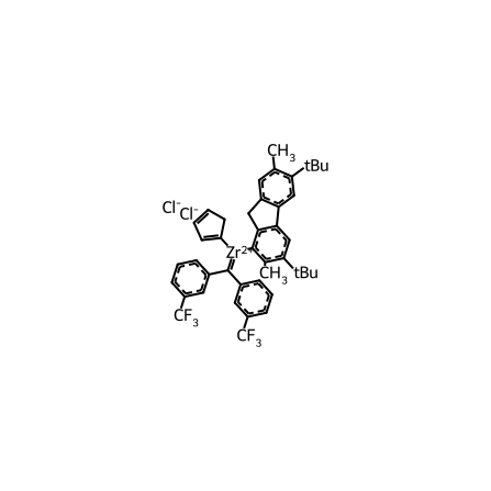 Cc1cc2c(cc1C(C)(C)C)-c1cc(C(C)(C)C)c(C)[c]([Zr+2]([C]3=CC=CC3)=[C](c3cccc(C(F)(F)F)c3)c3cccc(C(F)(F)F)c3)c1C2.[Cl-].[Cl-]